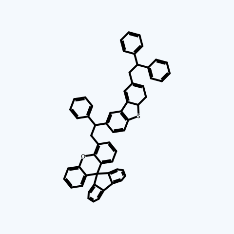 C1=C(CC(c2ccccc2)c2ccccc2)C=C2c3cc(C(Cc4cccc5c4Oc4ccccc4C54c5ccccc5-c5ccccc54)c4ccccc4)ccc3SC2C1